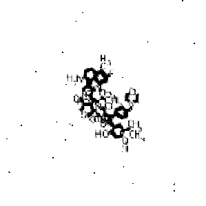 CC[C@@]1(N(C(=O)c2noc(-c3cc(C(C)C)c(O)cc3O)c2-c2ccc(CN3CCOCC3)cc2)[C@@H](C(=O)O)C(C)C)C(=O)OCc2c1cc1n(c2=O)Cc2c-1nc1cc(F)c(C)c3c1c2[C@H](N)CC3